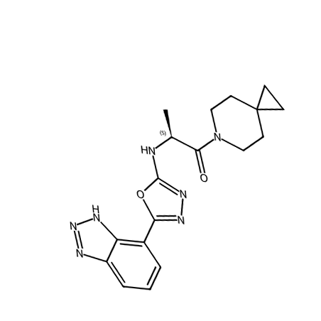 C[C@H](Nc1nnc(-c2cccc3nn[nH]c23)o1)C(=O)N1CCC2(CC1)CC2